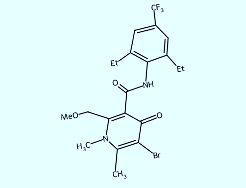 CCc1cc(C(F)(F)F)cc(CC)c1NC(=O)c1c(COC)n(C)c(C)c(Br)c1=O